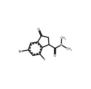 CN(C)C(=O)C1CC(=O)c2cc(Br)cc(F)c21